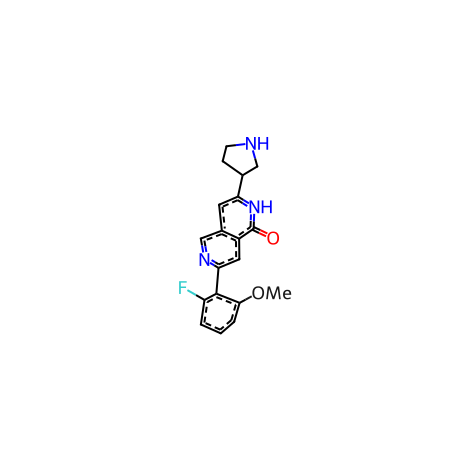 COc1cccc(F)c1-c1cc2c(=O)[nH]c(C3CCNC3)cc2cn1